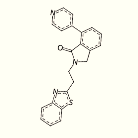 O=C1c2c(cccc2-c2ccncc2)CN1CCc1nc2ccccc2s1